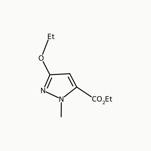 CCOC(=O)c1cc(OCC)nn1C